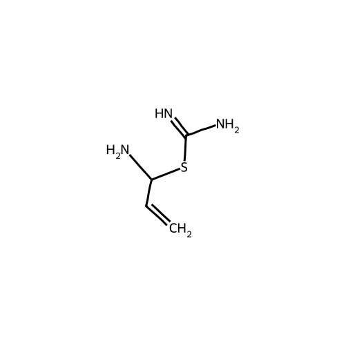 C=CC(N)SC(=N)N